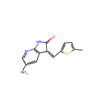 Cc1ccc(C=C2C(=O)Nc3ncc([N+](=O)[O-])cc32)s1